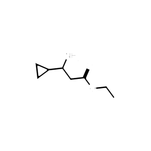 CCOC(=O)CC(N)C1CC1